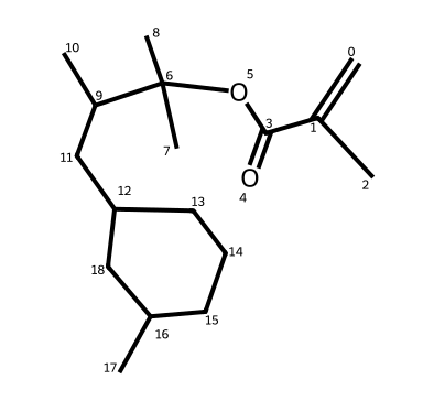 C=C(C)C(=O)OC(C)(C)C(C)CC1CCCC(C)C1